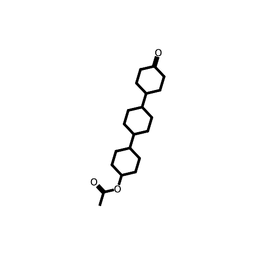 CC(=O)OC1CCC(C2CCC(C3CCC(=O)CC3)CC2)CC1